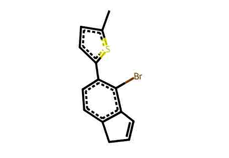 Cc1ccc(-c2ccc3c(c2Br)C=CC3)s1